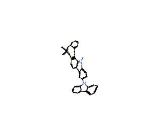 Cn1c2ccc(-n3c4ccccc4c4ccccc43)cc2c2ccc3c(c21)-c1ccccc1C3(C)C